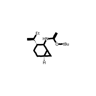 C=C(NC1C2C[C@H]2CC[C@@H]1C(=C)CC)OC(C)(C)C